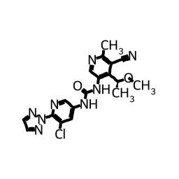 CO[C@@H](C)c1c(NC(=O)Nc2cnc(-n3nccn3)c(Cl)c2)cnc(C)c1C#N